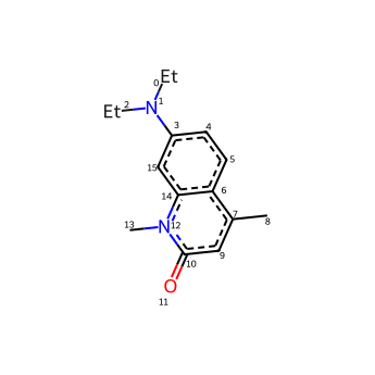 CCN(CC)c1ccc2c(C)cc(=O)n(C)c2c1